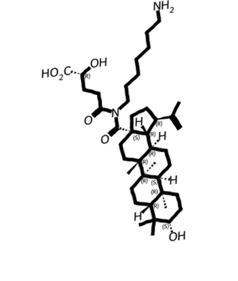 C=C(C)[C@@H]1CC[C@]2(C(=O)N(CCCCCCCN)C(=O)CC[C@@H](O)C(=O)O)CC[C@]3(C)[C@H](CC[C@H]4[C@@]5(C)CC[C@H](O)C(C)(C)[C@@H]5CC[C@]43C)[C@@H]12